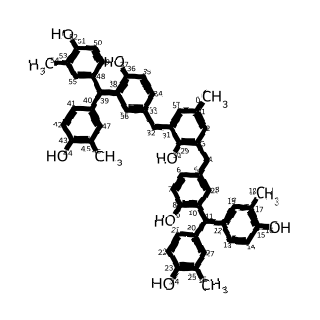 Cc1cc(Cc2ccc(O)c(C(c3ccc(O)c(C)c3)c3ccc(O)c(C)c3)c2)c(O)c(Cc2ccc(O)c(C(c3ccc(O)c(C)c3)c3ccc(O)c(C)c3)c2)c1